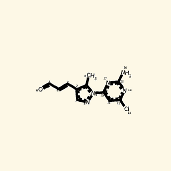 Cc1c(/C=C/C=O)cnn1-c1cc(Cl)nc(N)n1